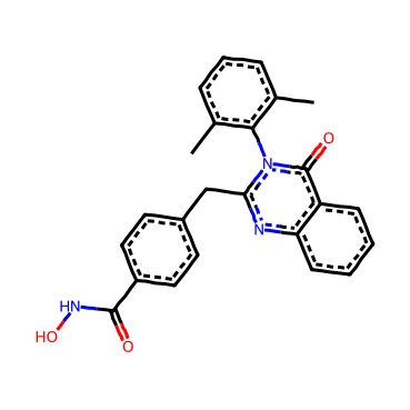 Cc1cccc(C)c1-n1c(Cc2ccc(C(=O)NO)cc2)nc2ccccc2c1=O